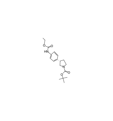 CCOC(=O)Nc1ccc([C@@H]2CCN(C(=O)OC(C)(C)C)C2)cc1